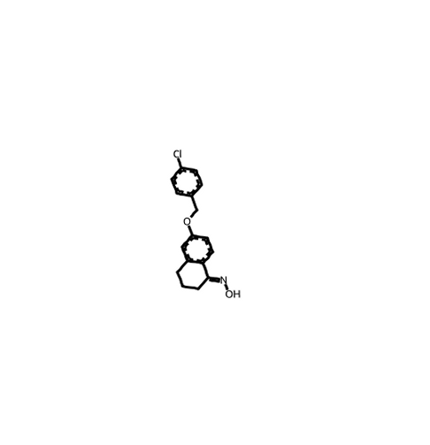 ON=C1CCCc2cc(OCc3ccc(Cl)cc3)ccc21